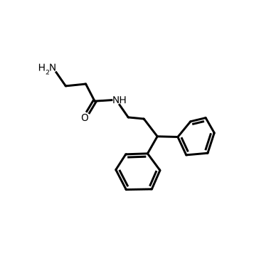 NCCC(=O)NCCC(c1ccccc1)c1ccccc1